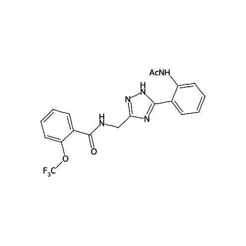 CC(=O)Nc1ccccc1-c1nc(CNC(=O)c2ccccc2OC(F)(F)F)n[nH]1